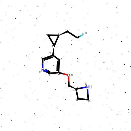 FCC[C@@H]1C[C@@H]1c1cncc(OC[C@@H]2CCN2)c1